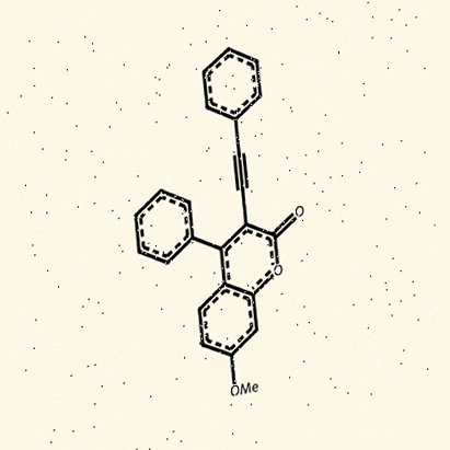 COc1ccc2c(-c3ccccc3)c(C#Cc3ccccc3)c(=O)oc2c1